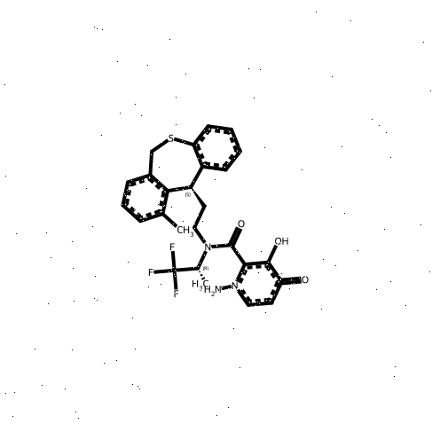 Cc1cccc2c1[C@H](CCN(C(=O)c1c(O)c(=O)ccn1N)[C@H](C)C(F)(F)F)c1ccccc1SC2